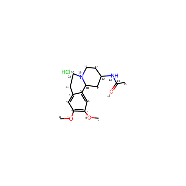 COc1cc2c(cc1OC)C1CC(NC(C)=O)CCN1CC2.Cl